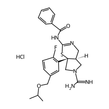 CC(C)OCc1ccc(F)c([C@]23CN(C(=N)N)C[C@@H]2CN=C(NC(=O)c2ccccc2)S3)c1.Cl